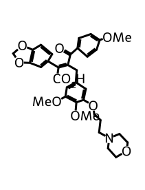 COc1ccc(C(=O)C(Cc2cc(OC)c(OC)c(OCCCN3CCOCC3)c2)=C(C(=O)O)c2ccc3c(c2)OCO3)cc1